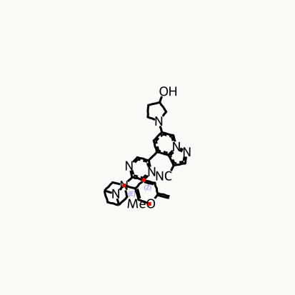 C=C(/C=C\C(=C/C)CN1C2CC1CN(c1cnc(-c3cc(N4CCC(O)C4)cn4ncc(C#N)c34)cn1)C2)OC